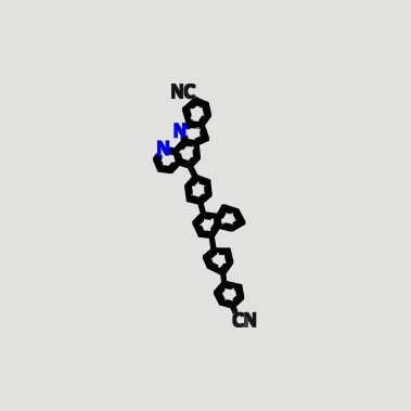 N#Cc1ccc(-c2ccc(-c3ccc(-c4ccc(-c5cc6cc7ccc(C#N)cc7nc6c6ncccc56)cc4)c4ccccc34)cc2)cc1